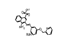 Nc1c(N=Nc2cccc(OCc3ccccn3)c2)cc(S(=O)(=O)O)c2ccccc12.[NaH]